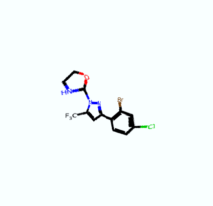 FC(F)(F)c1cc(-c2ccc(Cl)cc2Br)nn1C1NCCO1